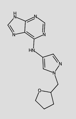 c1nc(Nc2cnn(CC3CCCO3)c2)c2nc[nH]c2n1